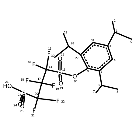 CC(C)c1cc(C(C)C)c(OS(=O)(=O)C(F)(F)C(F)(F)C(F)(F)S(=O)(=O)O)c(C(C)C)c1